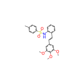 COc1cc(C=Cc2ccccc2NS(=O)(=O)c2ccc(C)cc2)cc(OC)c1OC